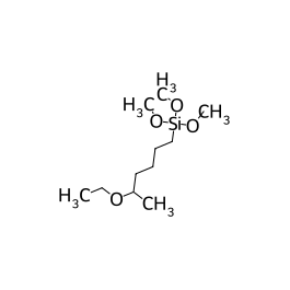 CCOC(C)CCCC[Si](OC)(OC)OC